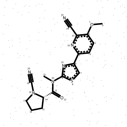 COc1ccc(-c2csc(N(C)C(=O)[C@@H]3CCCN3C#N)n2)nc1C#N